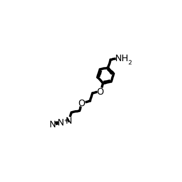 [N-]=[N+]=NCCOCCOc1ccc(CN)cc1